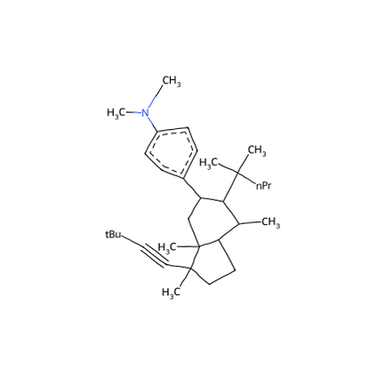 CCCC(C)(C)C1C(c2ccc(N(C)C)cc2)CC2(C)C(CCC2(C)C#CC(C)(C)C)C1C